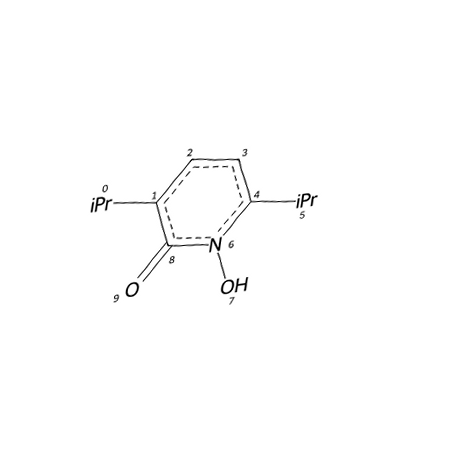 CC(C)c1ccc(C(C)C)n(O)c1=O